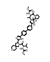 COC(=O)N[C@H](C(=O)N1CC2(CCOCC2)CC1c1ncc(-c2ccc(C3=CC[C@](C)(C4=CN5C(C)[C@H](NC(=O)OC)C(=O)N6CCC[C@H]6C5(C)N4)C=C3)cc2)[nH]1)C(C)C